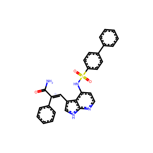 NC(=O)/C(=C/c1c[nH]c2nccc(NS(=O)(=O)c3ccc(-c4ccccc4)cc3)c12)c1ccccc1